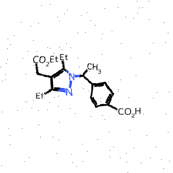 CCOC(=O)Cc1c(CC)nn(C(C)c2ccc(C(=O)O)cc2)c1CC